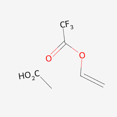 C=COC(=O)C(F)(F)F.CC(=O)O